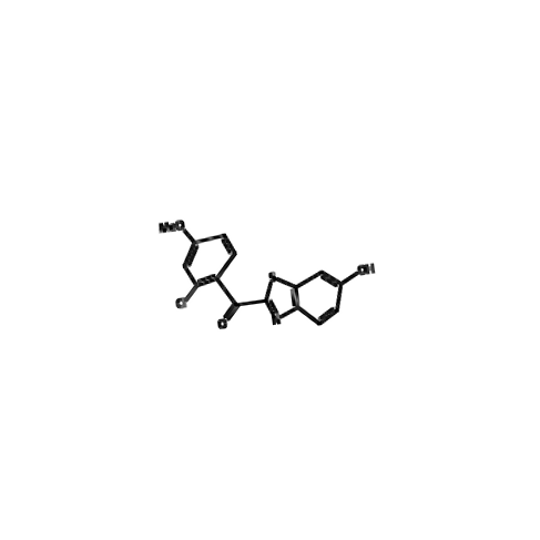 COc1ccc(C(=O)c2nc3ccc(O)cc3s2)c(Cl)c1